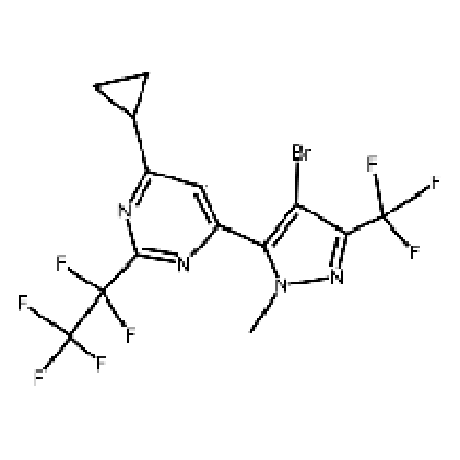 Cn1nc(C(F)(F)F)c(Br)c1-c1[c]c(C2CC2)nc(C(F)(F)C(F)(F)F)n1